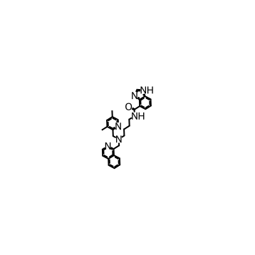 Cc1cnc(CN(CCCCNC(=O)c2cccc3[nH]cnc23)Cc2nccc3ccccc23)c(C)c1